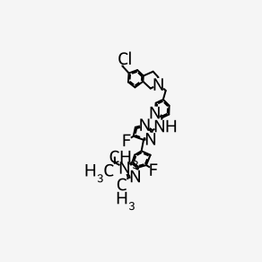 Cc1nc2c(F)cc(-c3nc(Nc4ccc(CN5CCc6cc(CCl)ccc6C5)cn4)ncc3F)cc2n1C(C)C